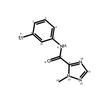 CCc1cccc(NC(=O)c2ncnn2C)c1